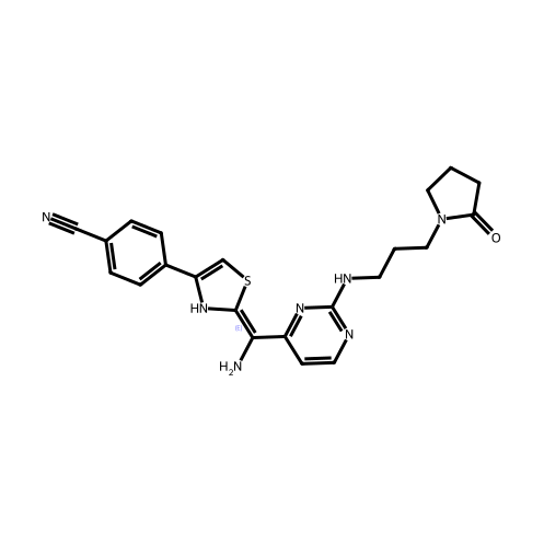 N#Cc1ccc(C2=CS/C(=C(/N)c3ccnc(NCCCN4CCCC4=O)n3)N2)cc1